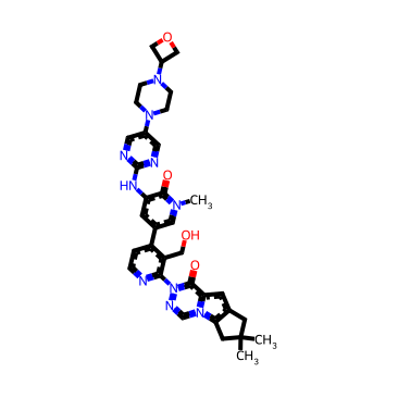 Cn1cc(-c2ccnc(-n3ncn4c5c(cc4c3=O)CC(C)(C)C5)c2CO)cc(Nc2ncc(N3CCN(C4COC4)CC3)cn2)c1=O